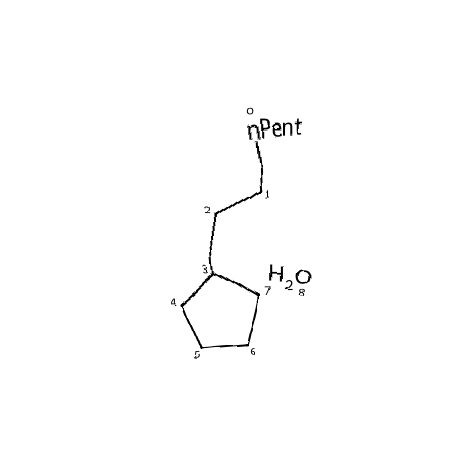 CCCCCCCC1CCCC1.O